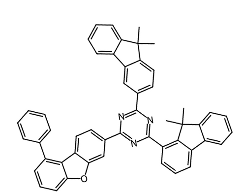 CC1(C)c2ccccc2-c2cc(-c3nc(-c4ccc5c(c4)oc4cccc(-c6ccccc6)c45)nc(-c4cccc5c4C(C)(C)c4ccccc4-5)n3)ccc21